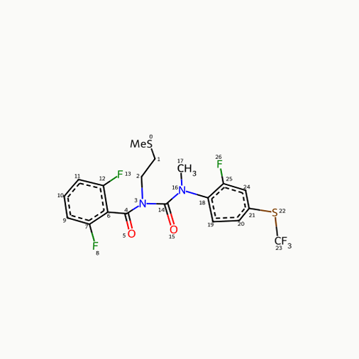 CSCCN(C(=O)c1c(F)cccc1F)C(=O)N(C)c1ccc(SC(F)(F)F)cc1F